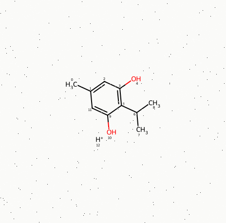 Cc1cc(O)c(C(C)C)c(O)c1.[H+]